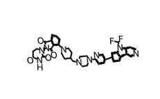 O=C1CCN(N2C(=O)c3cccc(N4CCC(CN5CCN(c6ccc(-c7ccc8c9cnccc9n(C(F)F)c8c7)cn6)CC5)CC4)c3C2=O)C(=O)N1